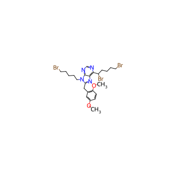 COc1ccc(OC)c(Cc2nc3c(C(Br)CCCCBr)ncnc3n2CCCCCBr)c1